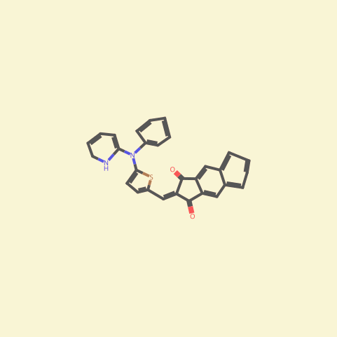 O=C1C(=Cc2ccc(N(C3=CC=CCN3)c3ccccc3)s2)C(=O)c2cc3ccccc3cc21